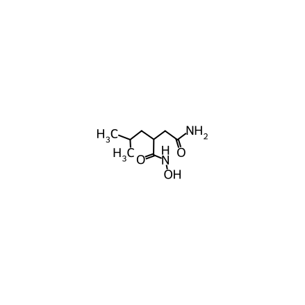 CC(C)CC(CC(N)=O)C(=O)NO